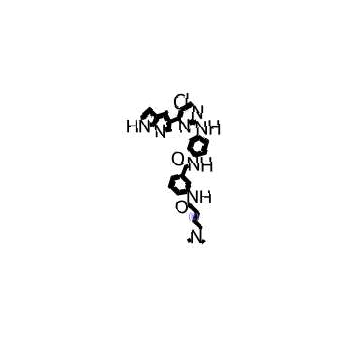 CN(C)C/C=C/C(=O)Nc1cccc(C(=O)Nc2ccc(Nc3ncc(Cl)c(-c4cnc5[nH]ccc5c4)n3)cc2)c1